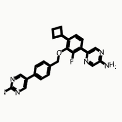 Nc1cnc(-c2ccc(C3CCC3)c(OCc3ccc(-c4cnc(N)nc4)cc3)c2F)cn1